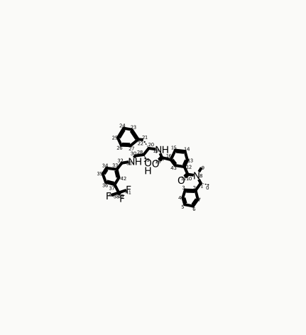 C[C@H](c1ccccc1)N(C)C(=O)c1cccc(C(=O)N[C@@H](Cc2ccccc2)[C@H](O)CNCc2cccc(C(F)(F)F)c2)c1